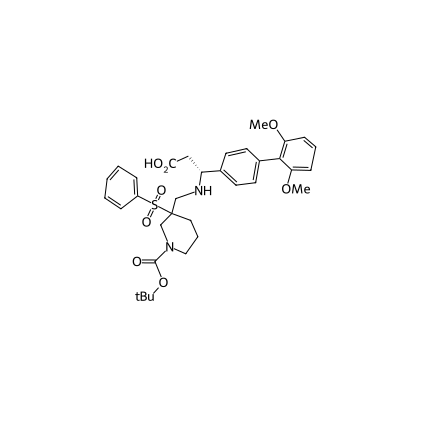 COc1cccc(OC)c1-c1ccc([C@@H](CC(=O)O)NCC2(S(=O)(=O)c3ccccc3)CCCN(C(=O)OC(C)(C)C)C2)cc1